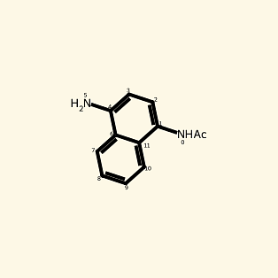 CC(=O)Nc1ccc(N)c2ccccc12